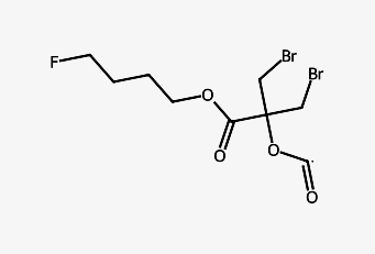 O=[C]OC(CBr)(CBr)C(=O)OCCCCF